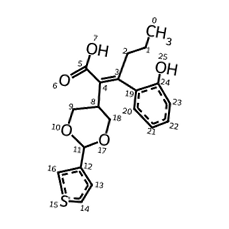 CCCC(=C(C(=O)O)C1COC(c2ccsc2)OC1)c1ccccc1O